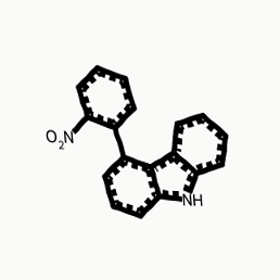 O=[N+]([O-])c1ccccc1-c1cccc2[nH]c3ccccc3c12